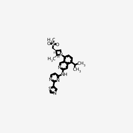 CC(C)c1ccc(N2C[C@H](CS(C)(=O)=O)[C@H]2C)c2cnc(Nc3ccnc(-c4cncs4)n3)cc12